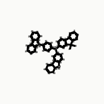 CC1(C)c2ccccc2-c2ccc(N(c3ccc(-n4c5ccccc5c5ccccc54)cc3)c3ccc4c(c3)C3=CC=CCC3O4)cc21